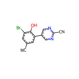 N#Cc1cc(Br)c(O)c(-c2cnc(C#N)nc2)c1